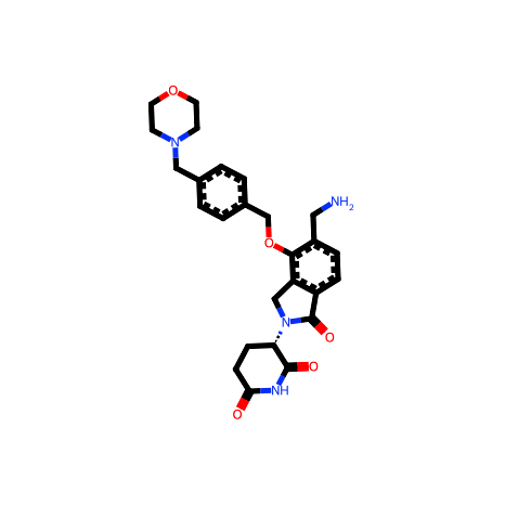 NCc1ccc2c(c1OCc1ccc(CN3CCOCC3)cc1)CN([C@H]1CCC(=O)NC1=O)C2=O